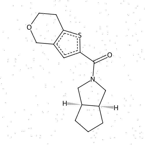 O=C(c1cc2c(s1)CCOC2)N1C[C@H]2CCC[C@H]2C1